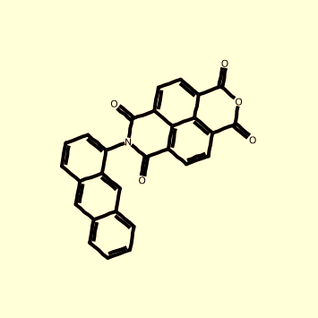 O=C1OC(=O)c2ccc3c4c(ccc1c24)C(=O)N(c1cccc2cc4ccccc4cc12)C3=O